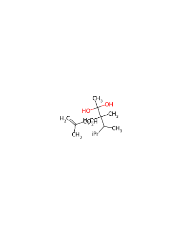 C=C(C)C(=O)O.CC(C)C(C)C(C)(C)C(C)(O)O